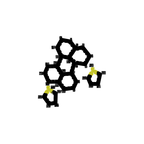 c1cc2cccc3c4cccc5cccc(c(c1)c23)c54.c1ccsc1.c1ccsc1